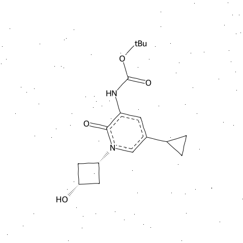 CC(C)(C)OC(=O)Nc1cc(C2CC2)cn([C@H]2C[C@@H](O)C2)c1=O